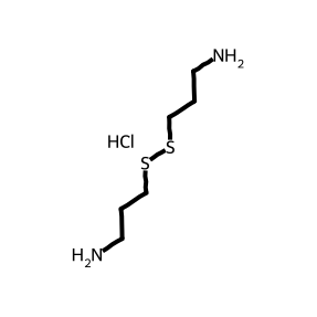 Cl.NCCCSSCCCN